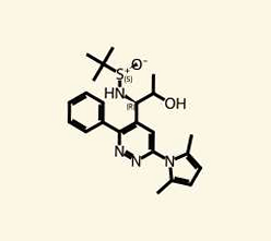 Cc1ccc(C)n1-c1cc([C@@H](N[S@+]([O-])C(C)(C)C)C(C)O)c(-c2ccccc2)nn1